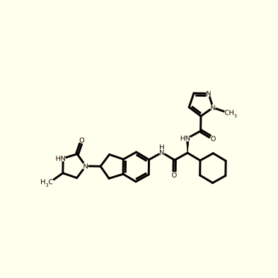 CC1CN(C2Cc3ccc(NC(=O)[C@@H](NC(=O)c4ccnn4C)C4CCCCC4)cc3C2)C(=O)N1